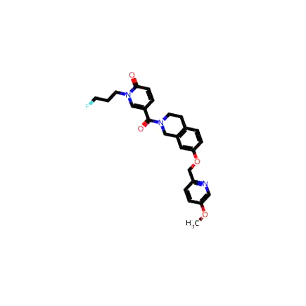 COc1ccc(COc2ccc3c(c2)CN(C(=O)c2ccc(=O)n(CCCF)c2)CC3)nc1